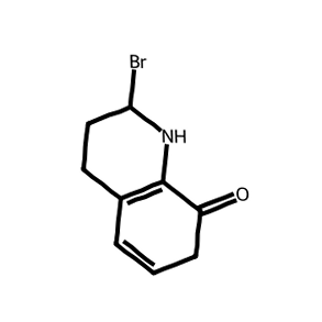 O=C1CC=CC2=C1NC(Br)CC2